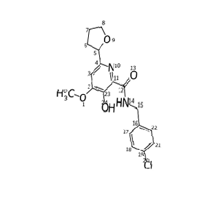 COc1cc(C2CCCO2)nc(C(=O)NCc2ccc(Cl)cc2)c1O